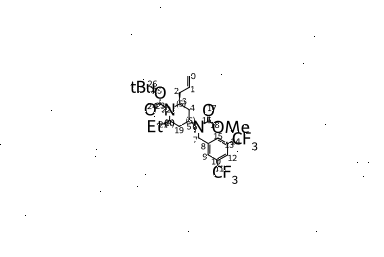 C=CC[C@H]1C[C@@H](N(Cc2cc(C(F)(F)F)cc(C(F)(F)F)c2)C(=O)OC)C[C@@H](CC)N1C(=O)OC(C)(C)C